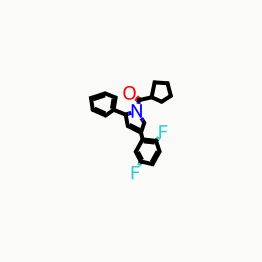 O=C(C1CCCC1)N1CC(c2cc(F)ccc2F)=CC1c1ccccc1